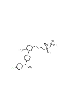 CC(c1ccc(Cl)cc1)c1ccc(-c2cc(CCCC[Si](C)(C)C[Si](C)(C)C)ccc2C(=O)O)cc1